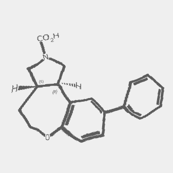 O=C(O)N1C[C@H]2CCOc3ccc(-c4ccccc4)cc3[C@@H]2C1